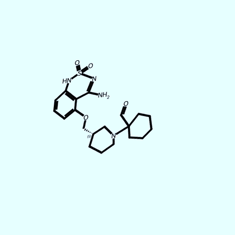 NC1=NS(=O)(=O)Nc2cccc(OC[C@H]3CCCN(C4(C=O)CCCCC4)C3)c21